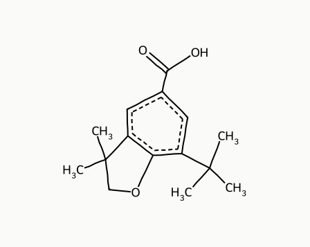 CC(C)(C)c1cc(C(=O)O)cc2c1OCC2(C)C